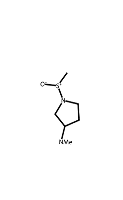 CNC1CCN([S+](C)[O-])C1